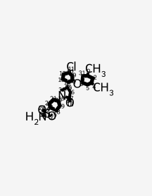 Cc1cc(C)cc(Oc2cc(Cl)ccc2[C@H]2CC(=O)N(c3ccc(S(N)(=O)=O)cc3)C2)c1